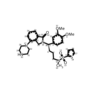 COc1ccc([C@@H](CCCN(C)S(=O)(=O)c2cccs2)N2Cc3c(cccc3N3CCNCC3)C2=O)cc1OC